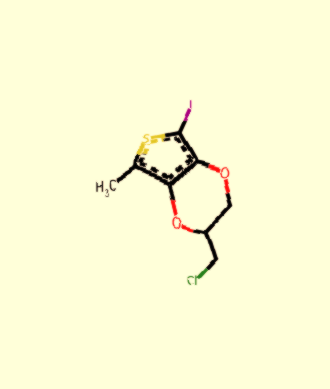 Cc1sc(I)c2c1OC(CCl)CO2